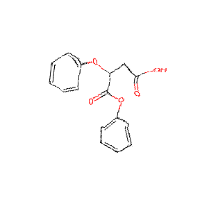 O=C(O)CC(Oc1ccccc1)C(=O)Oc1ccccc1